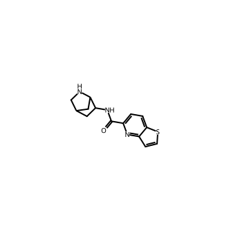 O=C(NC1CC2CNC1C2)c1ccc2sccc2n1